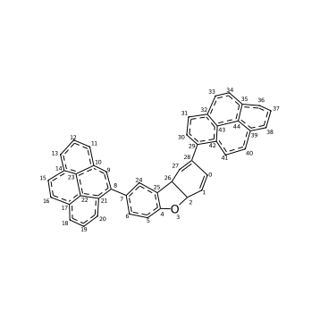 C1=CC2Oc3ccc(-c4cc5cccc6ccc7cccc4c7c65)cc3C2C=C1c1ccc2ccc3cccc4ccc1c2c34